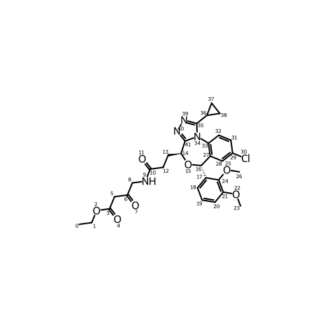 CCOC(=O)CC(=O)CNC(=O)CC[C@@H]1O[C@@H](c2cccc(OC)c2OC)c2cc(Cl)ccc2-n2c(C3CC3)nnc21